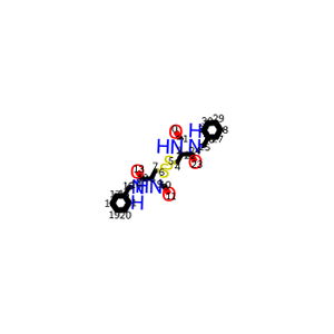 O=CNC(CSSCC(NC=O)C(=O)NCc1ccccc1)C(=O)NCc1ccccc1